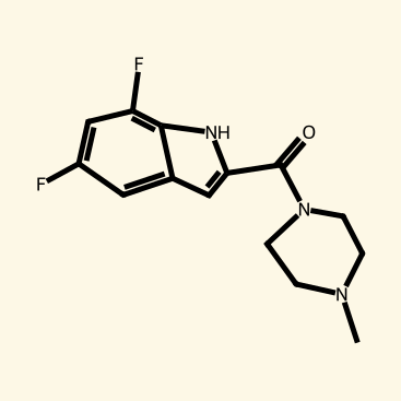 CN1CCN(C(=O)c2cc3cc(F)cc(F)c3[nH]2)CC1